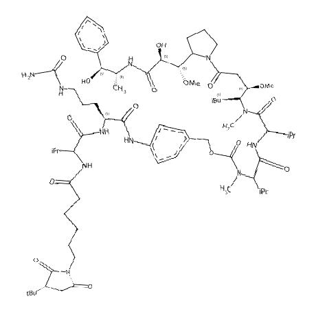 CC[C@H](C)C([C@@H](CC(=O)N1CCCC1[C@H](OC)[C@H](O)C(=O)N[C@H](C)[C@@H](O)c1ccccc1)OC)N(C)C(=O)C(NC(=O)C(C(C)C)N(C)C(=O)OCc1ccc(NC(=O)[C@H](CCCNC(N)=O)NC(=O)C(NC(=O)CCCCCN2C(=O)CC(C(C)(C)C)C2=O)C(C)C)cc1)C(C)C